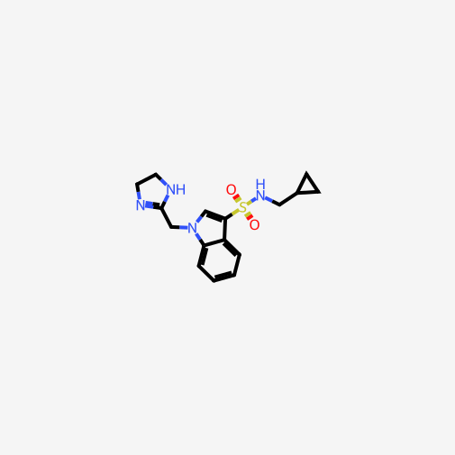 O=S(=O)(NCC1CC1)c1cn(CC2=NCCN2)c2ccccc12